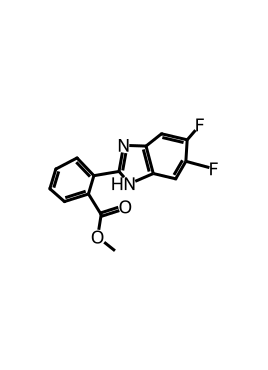 COC(=O)c1ccccc1-c1nc2cc(F)c(F)cc2[nH]1